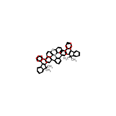 CC1(C)c2ccccc2-c2c1cc(-c1ccc3c(c1)N(c1c(-c4ccc(-c5ccccc5)cc4)cccc1-c1ccc(-c4ccccc4)cc1)c1cc(-c4cc5c(c6ccccc46)-c4ccccc4C5(C)C)ccc1O3)c1ccccc21